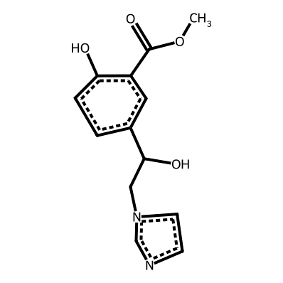 COC(=O)c1cc(C(O)Cn2ccnc2)ccc1O